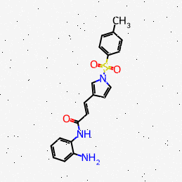 Cc1ccc(S(=O)(=O)n2ccc(/C=C/C(=O)Nc3ccccc3N)c2)cc1